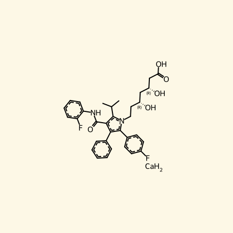 CC(C)c1c(C(=O)Nc2ccccc2F)c(-c2ccccc2)c(-c2ccc(F)cc2)n1CC[C@@H](O)C[C@@H](O)CC(=O)O.[CaH2]